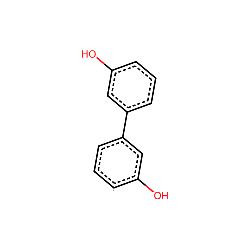 Oc1[c]ccc(-c2cccc(O)c2)c1